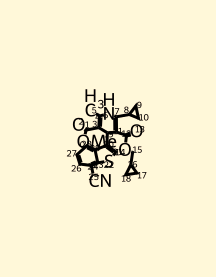 COC(=O)C1=C(C)NC(C2CC2)=C(C(=O)OCC2CC2)C1c1csc2c(C#N)cccc12